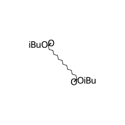 CC(C)COC(=O)CCCCCCCCCCCCC(=O)OCC(C)C